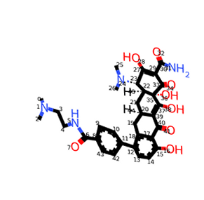 CN(C)CCNC(=O)c1ccc(-c2ccc(O)c3c2C[C@H]2C[C@H]4[C@H](N(C)C)C(O)=C(C(N)=O)C(=O)[C@@]4(O)C(O)=C2C3=O)cc1